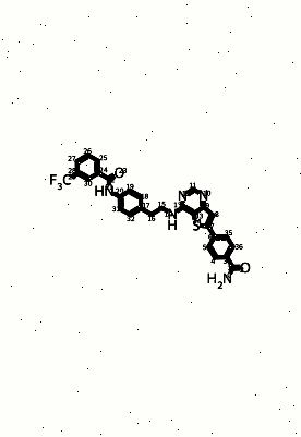 NC(=O)c1ccc(-c2cc3ncnc(NCCc4ccc(NC(=O)c5cccc(C(F)(F)F)c5)cc4)c3s2)cc1